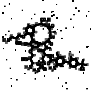 CCC(C)(C)c1ccc(-c2nc(C)c(C(=O)N[C@@H](CNS(N)(=O)=O)C(=O)N(C)[C@@H]3C(=O)N[C@@H](C)C(=O)N[C@H](C(=O)O)Cc4ccc(OC[C@H](O)CN)c(c4)-c4cc3cc(OC[C@H](O)CN)c4O)c(N)n2)c(F)c1